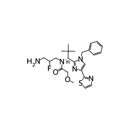 COCC(=O)N(CC(F)CN)[C@@H](c1nc(-c2nccs2)cn1Cc1ccccc1)C(C)(C)C